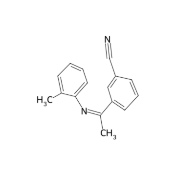 C/C(=N/c1ccccc1C)c1cccc(C#N)c1